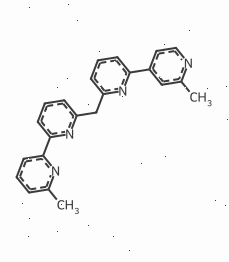 Cc1cc(-c2cccc(Cc3cccc(-c4cccc(C)n4)n3)n2)ccn1